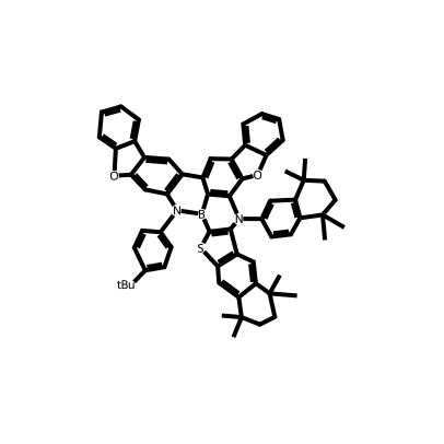 CC(C)(C)c1ccc(N2B3c4sc5cc6c(cc5c4N(c4ccc5c(c4)C(C)(C)CCC5(C)C)c4c3c(cc3c4oc4ccccc43)-c3cc4c(cc32)oc2ccccc24)C(C)(C)CCC6(C)C)cc1